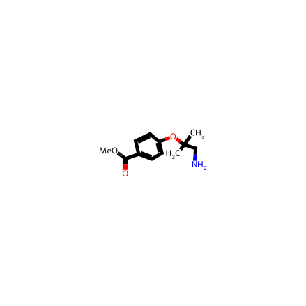 COC(=O)c1ccc(OC(C)(C)CN)cc1